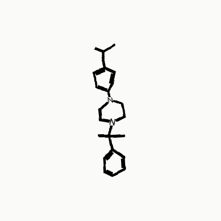 CC(C)c1ccc(N2CCN(C(C)(C)c3ccccc3)CC2)cc1